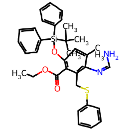 CCOC(=O)c1c(O[Si](c2ccccc2)(c2ccccc2)C(C)(C)C)cc(C)c(/N=C\N)c1CSc1ccccc1